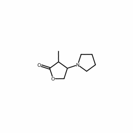 CC1C(=O)OCC1N1CCCC1